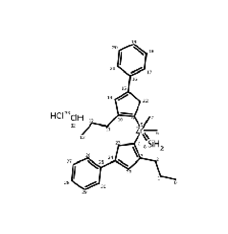 CCCC1=[C]([Zr]([CH3])([CH3])(=[SiH2])[C]2=C(CCC)C=C(c3ccccc3)C2)CC(c2ccccc2)=C1.Cl.Cl